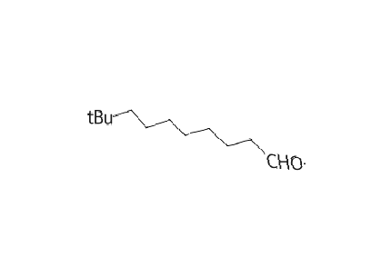 CC(C)(C)CCCCCCC[C]=O